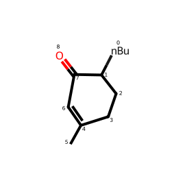 CCCCC1CCC(C)=CC1=O